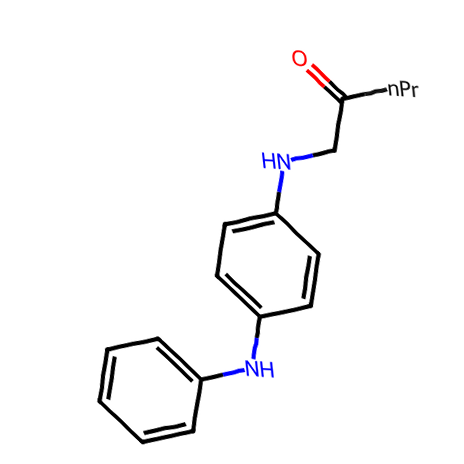 CCCC(=O)CNc1ccc(Nc2ccccc2)cc1